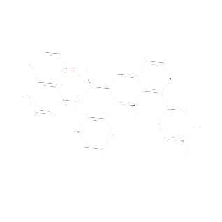 CCOc1ncc(-c2cccc3cc([C@H](C)Nc4ncnc5[nH]ccc(=O)c45)n(-c4ccccc4)c(=O)c23)cn1